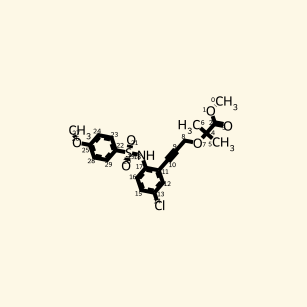 COC(=O)C(C)(C)OCC#Cc1cc(Cl)ccc1NS(=O)(=O)c1ccc(OC)cc1